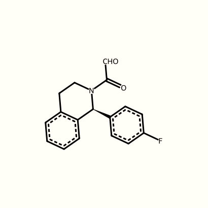 O=CC(=O)N1CCc2ccccc2[C@@H]1c1ccc(F)cc1